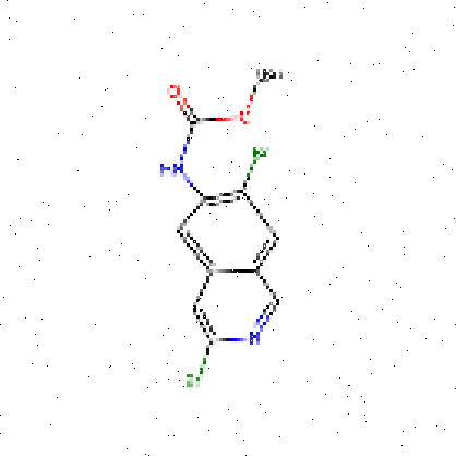 CC(C)(C)OC(=O)Nc1cc2cc(Br)ncc2cc1Br